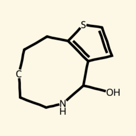 OC1NCCCCCc2sccc21